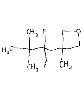 CC(C)(C)C(F)(F)C1(C)COC1